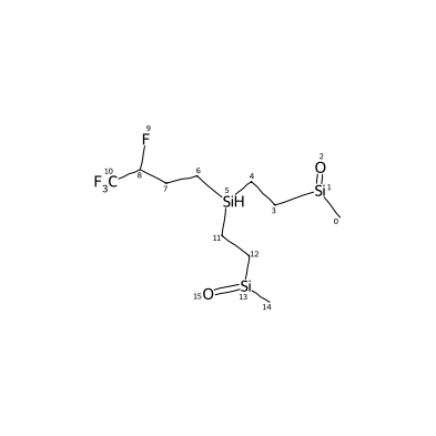 C[Si](=O)CC[SiH](CCC(F)C(F)(F)F)CC[Si](C)=O